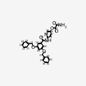 NC(=O)C(=O)Oc1ccc(NC(=O)c2cc(OCc3ccccc3)cc(OCc3ccccc3)c2)nc1